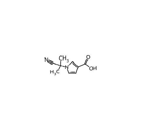 CC(C)(C#N)n1ccc(C(=O)O)c1